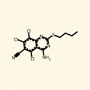 CCCCSc1nc(N)c2c(Cl)c(C#N)c(Cl)c(Cl)c2n1